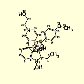 CCC1N(O)c2ccc3cc2[N+]1(O)N3C1(C(=O)c2ccc(OC)cc2)C=CN(CCO)C=C1